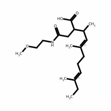 CC/C(C)=C/CC/C(C)=C/C(C)C(CC(=O)NCCOC)C(=O)O